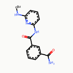 CCCCNc1cccc(NC(=O)c2cccc(C(N)=O)c2)n1